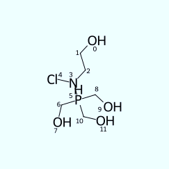 OCCN(Cl)[PH](CO)(CO)CO